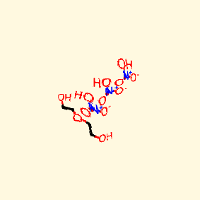 O=[N+]([O-])O.O=[N+]([O-])O.O=[N+]([O-])O.OCCOCCO